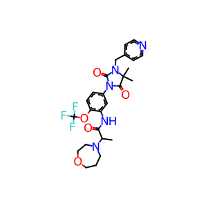 CC(C(=O)Nc1cc(N2C(=O)N(Cc3ccncc3)C(C)(C)C2=O)ccc1OC(F)(F)F)N1CCCOCC1